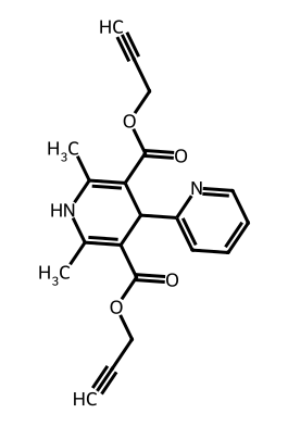 C#CCOC(=O)C1=C(C)NC(C)=C(C(=O)OCC#C)C1c1ccccn1